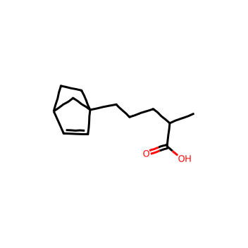 CC(CCCC12C=CC(CC1)C2)C(=O)O